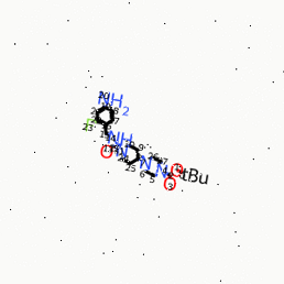 CC(C)(C)OC(=O)N1CCN(C2CCN(C(=O)NCc3ccc(N)cc3F)CC2)CC1